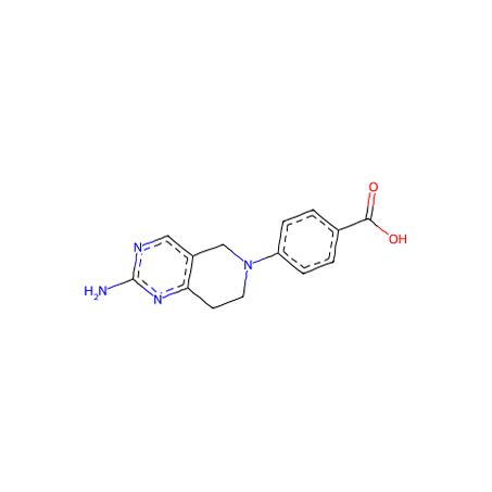 Nc1ncc2c(n1)CCN(c1ccc(C(=O)O)cc1)C2